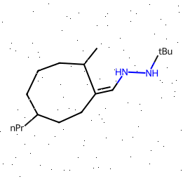 CCCC1CCCC(C)/C(=C\NNC(C)(C)C)CC1